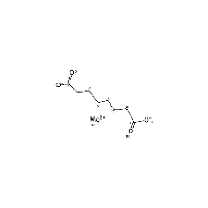 O=C([O-])CCCCCCC(=O)[O-].[Mg+2]